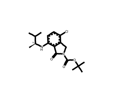 CC(C)[C@H](C)Nc1ccc(Cl)c2c1C(=O)N(C(=O)OC(C)(C)C)C2